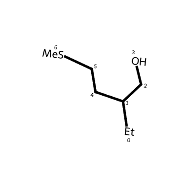 CCC(CO)CCSC